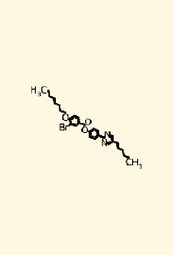 CCCCCCCCOc1ccc(C(=O)Oc2ccc(-c3ncc(CCCCCC)cn3)cc2)cc1Br